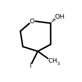 CC1(I)CCO[C@H](O)C1